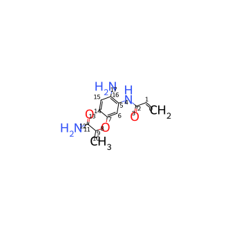 C=CC(=O)Nc1cc(OC(C)C(N)=O)ccc1N